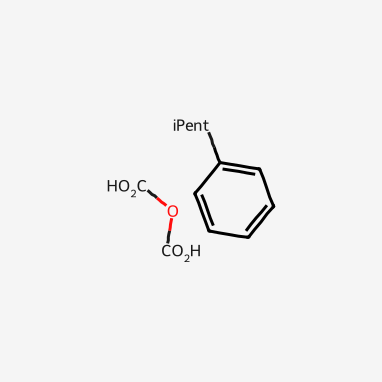 CCCC(C)c1ccccc1.O=C(O)OC(=O)O